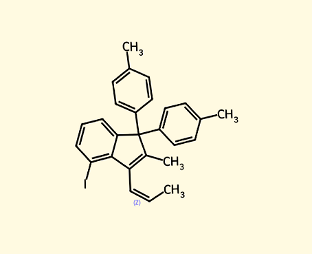 C/C=C\C1=C(C)C(c2ccc(C)cc2)(c2ccc(C)cc2)c2cccc(I)c21